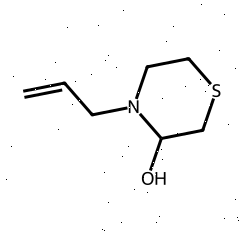 C=CCN1CCSCC1O